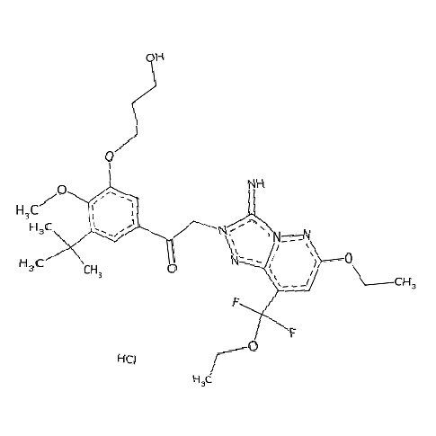 CCOc1cc(C(F)(F)OCC)c2nn(CC(=O)c3cc(OCCCO)c(OC)c(C(C)(C)C)c3)c(=N)n2n1.Cl